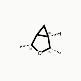 C[C@@H]1O[C@H](C)C2C[C@H]21